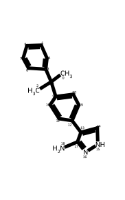 CC(C)(c1ccccc1)c1ccc(-c2c[nH]nc2N)cc1